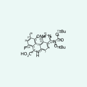 COc1cc(C(Nc2ccc3c(N(OC(C)(C)C)C(=O)OC(C)(C)C)nccc3c2)C(=O)O)c(F)cc1C